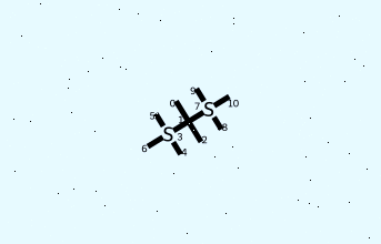 CC(C)(S(C)(C)C)S(C)(C)C